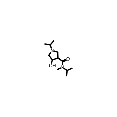 CC(C)N1CC(O)C(C(=O)N(C)C(C)C)C1